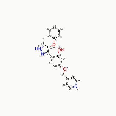 Cc1[nH]nc(-c2ccc(OCc3ccncc3)cc2O)c1Oc1ccccc1